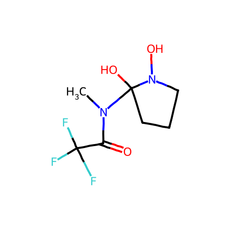 CN(C(=O)C(F)(F)F)C1(O)CCCN1O